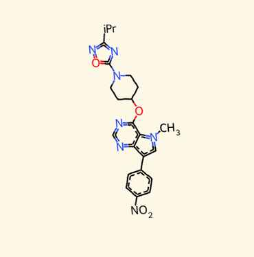 CC(C)c1noc(N2CCC(Oc3ncnc4c(-c5ccc([N+](=O)[O-])cc5)cn(C)c34)CC2)n1